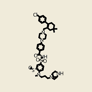 CN(CCCN1CC2CC1CN2)c1ccc(S(=O)(=O)NC(=O)c2ccc(N3CCN(CC4=C(c5ccc(Cl)cc5)CCC(C)(C)C4)CC3)cc2)cc1[S+]=O